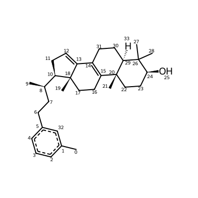 Cc1cccc(CC[C@@H](C)[C@H]2CC=C3C4=C(CC[C@@]32C)[C@@]2(C)CC[C@H](O)C(C)(C)[C@@H]2CC4)c1